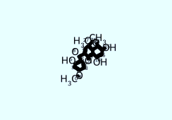 COc1cc(O)c2c(=O)c3cc4c5c(c(O)cc(O)c5c3oc2c1)OC4(C)C